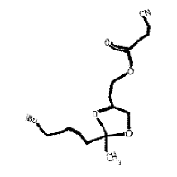 CCC(C)CCCC1(C)OCC(COC(=O)CC#N)O1